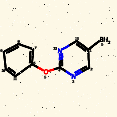 Bc1cnc(Oc2ccccc2)nc1